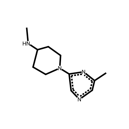 CNC1CCN(c2cncc(C)n2)CC1